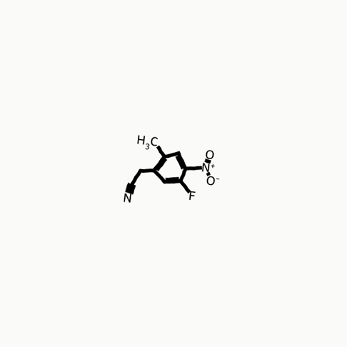 Cc1cc([N+](=O)[O-])c(F)cc1CC#N